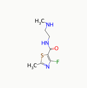 CNCCNC(=O)c1sc(C)nc1F